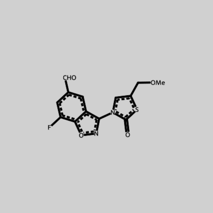 COCc1cn(-c2noc3c(F)cc(C=O)cc23)c(=O)s1